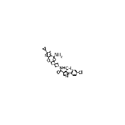 Cc1c(C(=O)N[C@H]2CC3(C2)C[C@H](Oc2nc(C4CC4)sc2C(N)=O)C3)cnn1-c1ccc(Cl)cc1